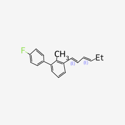 CC/C=C/C=C/c1cccc(-c2ccc(F)cc2)c1C